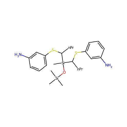 CCCC(Sc1cccc(N)c1)[Si](C)(O[Si](C)(C)C)C(CCC)Sc1cccc(N)c1